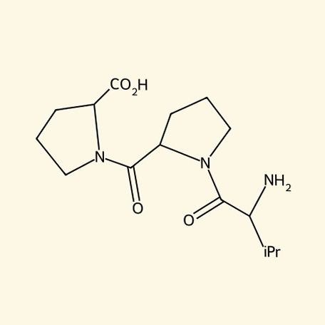 CC(C)C(N)C(=O)N1CCCC1C(=O)N1CCCC1C(=O)O